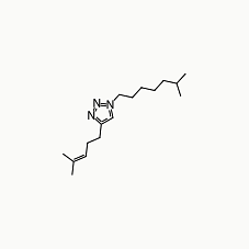 CC(C)=CCCc1cn(CCCCCC(C)C)nn1